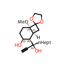 C#C[C@](O)(CCCCCCC)[C@H]1[C@@H](O)CC[C@]2(OC)[C@H]1CC21OCCO1